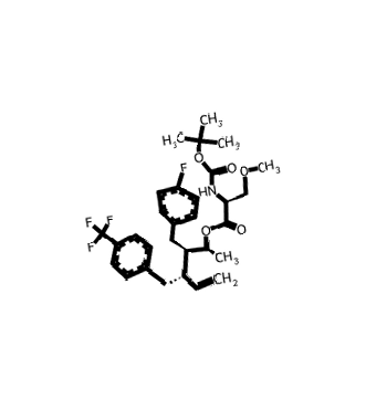 C=C[C@H](Cc1ccc(C(F)(F)F)cc1)[C@@H](Cc1ccc(F)cc1)[C@H](C)OC(=O)[C@H](COC)NC(=O)OC(C)(C)C